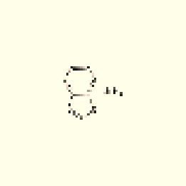 [SnH4].c1ccc2sccc2c1